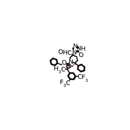 C[C@@H](OC[C@@]1(c2ccccc2)CC[C@](C=O)(n2cn[nH]c2=O)CN1C(=O)OCc1ccccc1)c1cc(C(F)(F)F)cc(C(F)(F)F)c1